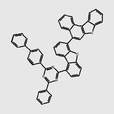 c1ccc(-c2ccc(-c3nc(-c4ccccc4)nc(-c4cccc5oc6c(-c7cc8sc9ccccc9c8c8ccccc78)cccc6c45)n3)cc2)cc1